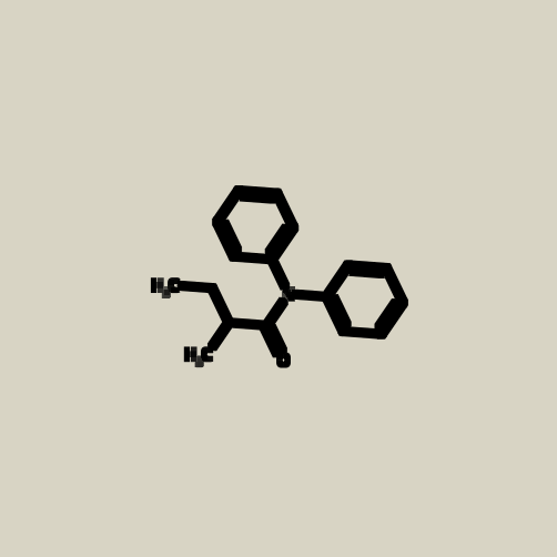 CCC(C)C(=O)N(c1ccccc1)c1ccccc1